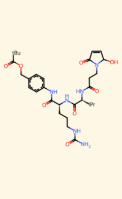 CC(C)[C@H](NC(=O)CCN1C(=O)C=CC1O)C(=O)N[C@@H](CCCNC(N)=O)C(=O)Nc1ccc(COC(=O)C(C)(C)C)cc1